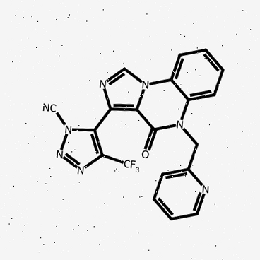 N#Cn1nnc(C(F)(F)F)c1-c1ncn2c1c(=O)n(Cc1ccccn1)c1ccccc12